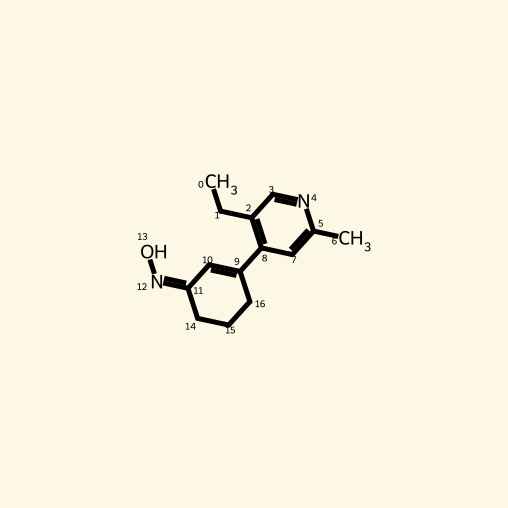 CCc1cnc(C)cc1C1=CC(=NO)CCC1